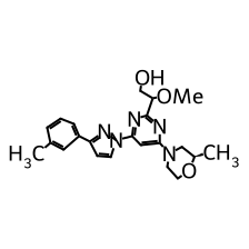 COC(CO)c1nc(N2CCO[C@H](C)C2)cc(-n2ccc(-c3cccc(C)c3)n2)n1